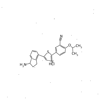 CC(C)Oc1ccc(-c2ncc(-c3cccc4c3CCC4N)s2)cc1C#N.Cl